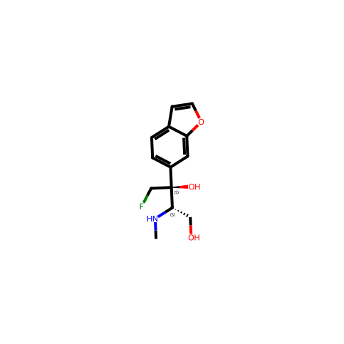 CN[C@@H](CO)[C@](O)(CF)c1ccc2ccoc2c1